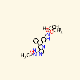 CCc1nc(-c2nccc3nc(-c4ccc(CNC(=O)OC(C)(C)C)cc4)c(-c4ccccc4)cc23)no1